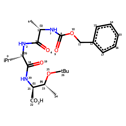 CC(C)[C@H](NC(=O)[C@H](C)NC(=O)OCc1ccccc1)C(=O)N[C@H](C(=O)O)[C@@H](C)OC(C)(C)C